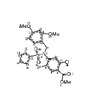 COC(=O)c1cc(F)c(N(Cc2ccc(OC)cc2OC)S(=O)(=O)c2ncns2)cc1Cl